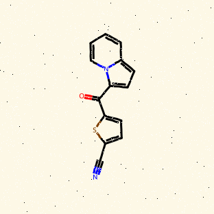 N#Cc1ccc(C(=O)c2ccc3ccccn23)s1